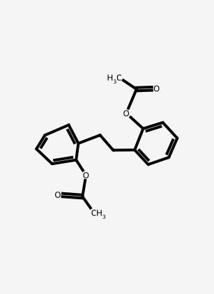 CC(=O)Oc1ccccc1CCc1ccccc1OC(C)=O